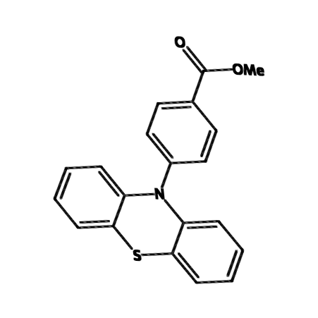 COC(=O)c1ccc(N2c3ccccc3Sc3ccccc32)cc1